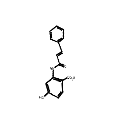 O=C(C=Cc1ccccc1)Nc1cc(O)ccc1C(=O)O